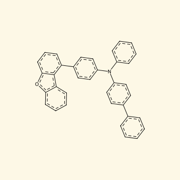 c1ccc(-c2ccc(N(c3ccccc3)c3ccc(-c4cccc5oc6ccccc6c45)cc3)cc2)cc1